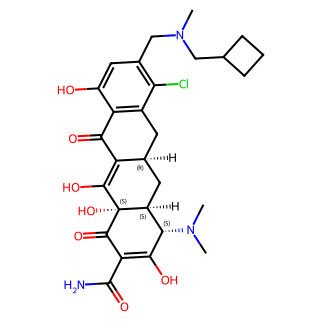 CN(Cc1cc(O)c2c(c1Cl)C[C@H]1C[C@H]3[C@H](N(C)C)C(O)=C(C(N)=O)C(=O)[C@@]3(O)C(O)=C1C2=O)CC1CCC1